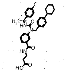 C[C@@H](NC(=O)N(Cc1ccc(C2CCCCC2)cc1)c1cccc(C(=O)NCCC(=O)O)c1)c1ccc(Cl)cc1